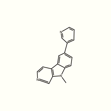 Cn1c2ccc(-c3cccnc3)cc2c2ccncc21